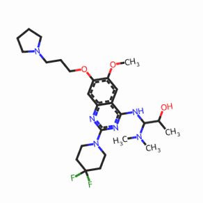 COc1cc2c(NC(C(C)O)N(C)C)nc(N3CCC(F)(F)CC3)nc2cc1OCCCN1CCCC1